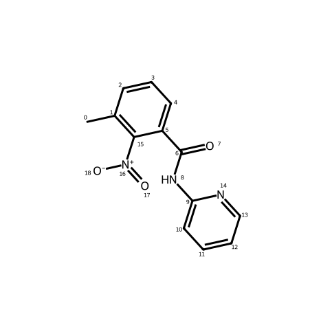 Cc1cccc(C(=O)Nc2ccccn2)c1[N+](=O)[O-]